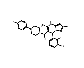 Cc1cc2n(n1)C(c1cccc(Cl)c1Cl)C(C(=O)N1CCN(c3ccc(F)cc3)CC1)=C(C(F)(F)F)N2